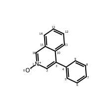 [O-][n+]1cc(-c2ccccc2)c2ccccc2c1